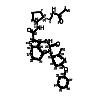 CCC(=O)NC[C@H]1CCC[C@H]1NC(=O)c1sc2nccc3c2c1NC(=O)N3c1ccc(Oc2ccccc2)nc1C